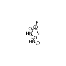 CC(C)(CC(=O)NC1CCCC1)NCC(=O)N1C[C@@H](F)C[C@H]1C#N